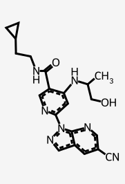 CC(CO)Nc1cc(-n2ncc3cc(C#N)cnc32)ncc1C(=O)NCCC1CC1